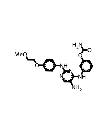 COCCOc1ccc(Nc2ncc(N)c(Nc3cccc(OC(N)=O)c3)n2)cc1